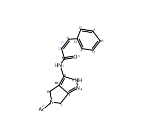 CC(=O)N1Cc2n[nH]c(NC(=O)/C=C\c3ccccc3)c2C1